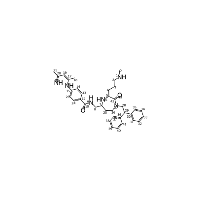 CNCCCC1NC(CNC(=O)c2ccc(N/C(C)=C\C(C)=N)cc2)CCN(CC(c2ccccc2)c2ccccc2)C1=O